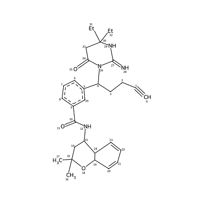 C#CCCC(c1cccc(C(=O)NC2CC(C)(C)OC3C=CC=CC23)c1)N1C(=N)NC(CC)(CC)CC1=O